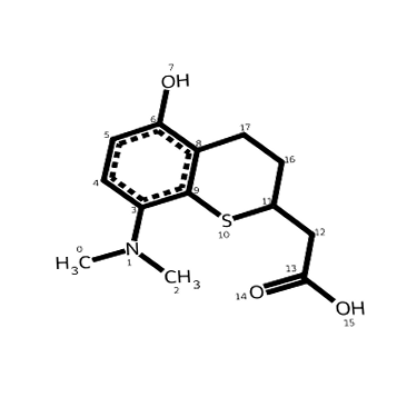 CN(C)c1ccc(O)c2c1SC(CC(=O)O)CC2